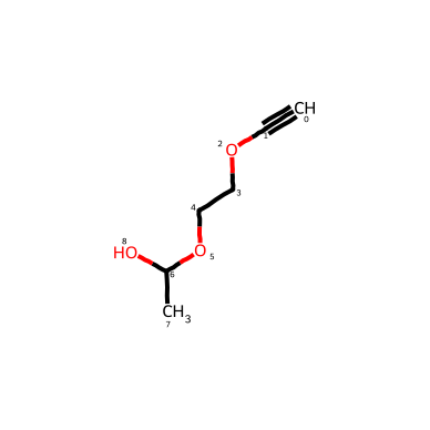 C#COCCOC(C)O